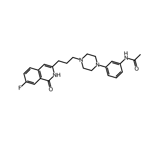 CC(=O)Nc1cccc(N2CCN(CCCc3cc4ccc(F)cc4c(=O)[nH]3)CC2)c1